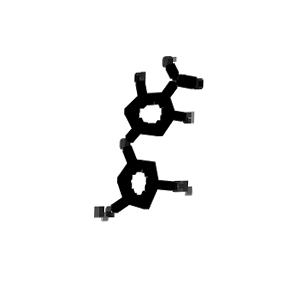 Cc1cc(C)cc(Oc2cc(Cl)c([N+](=O)[O-])c(Cl)c2)c1